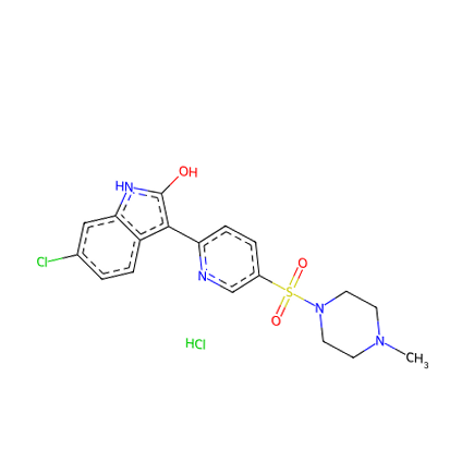 CN1CCN(S(=O)(=O)c2ccc(-c3c(O)[nH]c4cc(Cl)ccc34)nc2)CC1.Cl